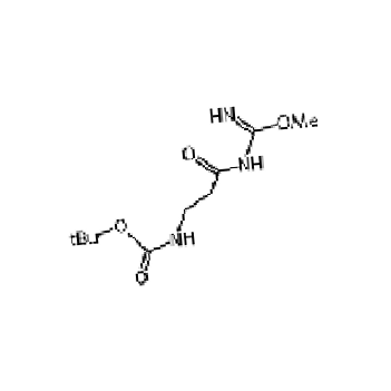 COC(=N)NC(=O)CCNC(=O)OC(C)(C)C